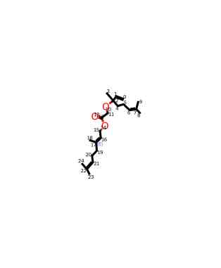 C=CC(C)(CCC=C(C)C)OCC(=O)OC/C=C(\C)CCC=C(C)C